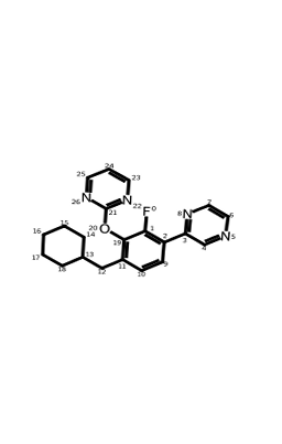 Fc1c(-c2cnccn2)ccc(CC2CCCCC2)c1Oc1ncccn1